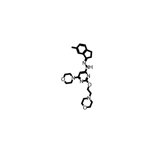 Cc1ccc2c(c1)C(=NNc1cc(N3CCOCC3)nc(OCCN3CCOCC3)n1)CC2